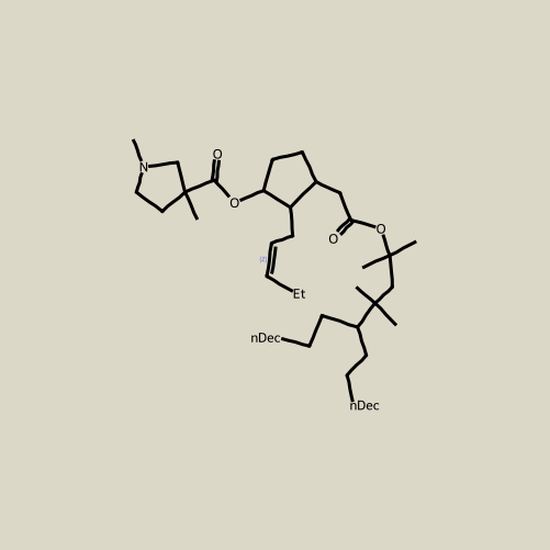 CC/C=C\CC1C(CC(=O)OC(C)(C)CC(C)(C)C(CCCCCCCCCCCC)CCCCCCCCCCCC)CCC1OC(=O)C1(C)CCN(C)C1